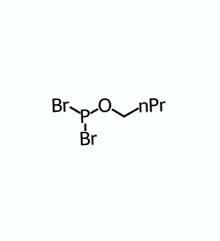 CCCCOP(Br)Br